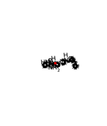 Nc1c(-c2nc3ccc(N4CCC(NCC5CN(Cc6ccccc6)CCO5)CC4)cc3[nH]2)c(=O)[nH]c2ccccc12